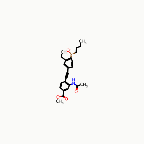 CCCC[S+]([O-])c1ccc(C#Cc2ccc(C(=O)OC)cc2NC(C)=O)cc1CC